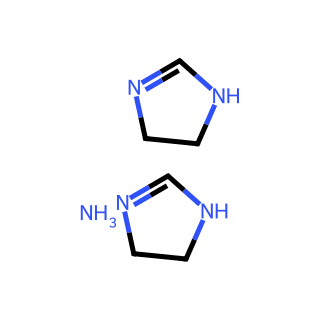 C1=NCCN1.C1=NCCN1.N